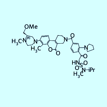 COC[C@H]1CN(c2ccc3c4c(c(=O)oc3c2C)CN(C(=O)c2ccc(C(=O)NS(=O)(=O)N(C)C(C)C)c(N3CCCC3)c2)CC4)CCN1C